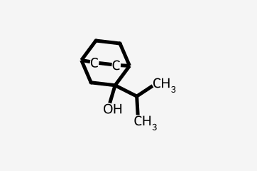 CC(C)C1(O)CC2CCC1CC2